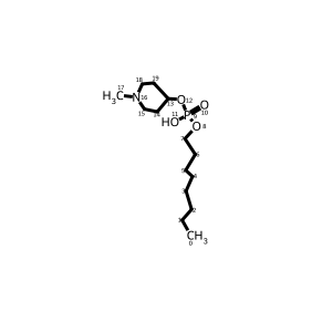 CCCCCCCCOP(=O)(O)OC1CCN(C)CC1